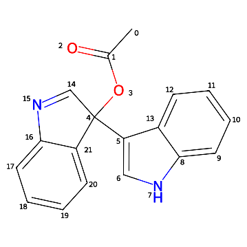 CC(=O)OC1(c2c[nH]c3ccccc23)C=Nc2ccccc21